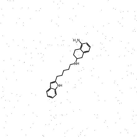 Nc1cccc2c1CCC(NCCCCCc1cc3ccccc3[nH]1)C2